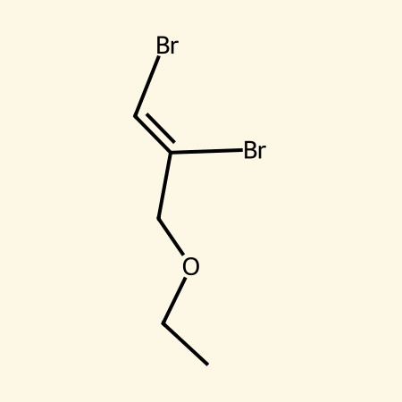 CCOCC(Br)=CBr